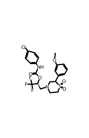 COc1cccc(C2CN(C[C@H](OC(=O)Nc3ccc(Cl)cc3)C(F)(F)F)CCS2(=O)=O)c1